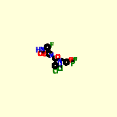 O=C1Nc2ccc(F)cc2C2(CCN(CCC(C(=O)NCc3cccc(OC(F)F)c3)c3ccc(Cl)c(Cl)c3)CC2)O1